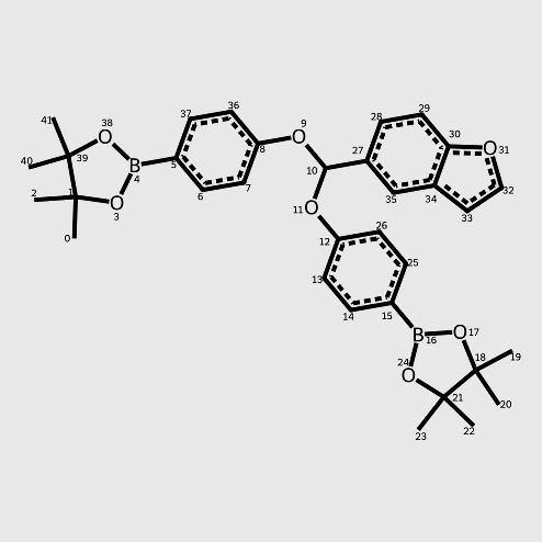 CC1(C)OB(c2ccc(OC(Oc3ccc(B4OC(C)(C)C(C)(C)O4)cc3)c3ccc4occc4c3)cc2)OC1(C)C